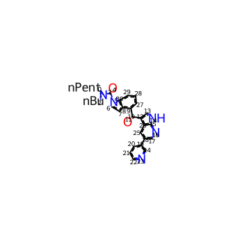 CCCCCN(CCCC)C(=O)n1ccc2c(C(=O)c3c[nH]c4ncc(-c5cccnc5)cc34)cccc21